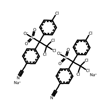 N#Cc1ccc(C(c2ccc(Cl)cc2)(C(Cl)(Cl)Cl)S(=O)(=O)[O-])cc1.N#Cc1ccc(C(c2ccc(Cl)cc2)(C(Cl)(Cl)Cl)S(=O)(=O)[O-])cc1.[Na+].[Na+]